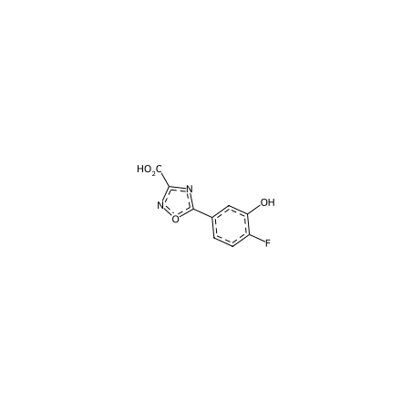 O=C(O)c1noc(-c2ccc(F)c(O)c2)n1